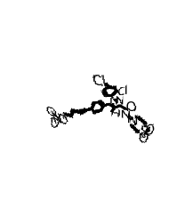 Cc1c(C(=O)NN2CCS(=O)(=O)CC2)nn(-c2ccc(Cl)cc2Cl)c1-c1ccc(C#CCCCO[N+](=O)[O-])cc1